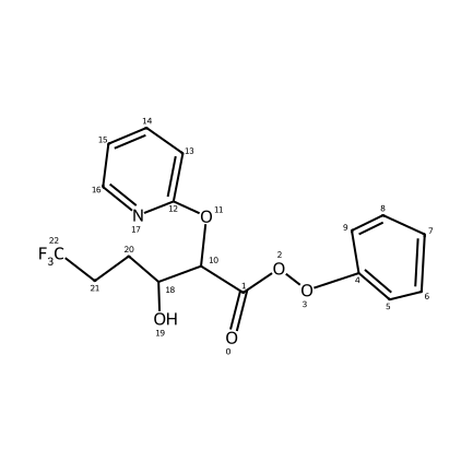 O=C(OOc1ccccc1)C(Oc1ccccn1)C(O)CCC(F)(F)F